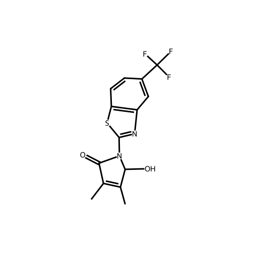 CC1=C(C)C(O)N(c2nc3cc(C(F)(F)F)ccc3s2)C1=O